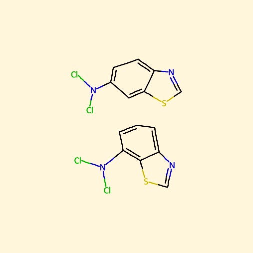 ClN(Cl)c1ccc2ncsc2c1.ClN(Cl)c1cccc2ncsc12